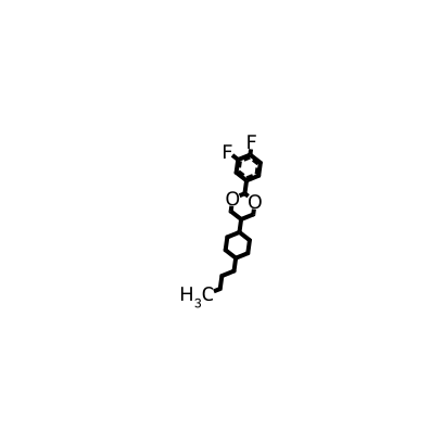 CCCCC1CCC(C2COC(c3ccc(F)c(F)c3)OC2)CC1